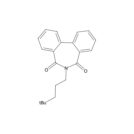 CC(C)(C)CCCn1c(=O)c2ccccc2c2ccccc2c1=O